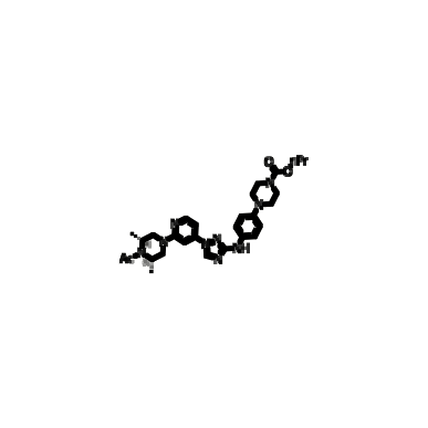 CCCOC(=O)N1CCN(c2ccc(Nc3ncn(-c4ccnc(N5C[C@@H](C)N(C(C)=O)[C@@H](C)C5)c4)n3)cc2)CC1